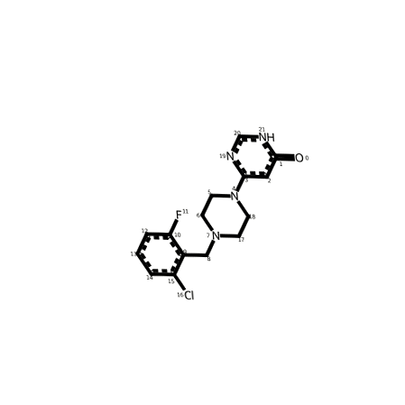 O=c1cc(N2CCN(Cc3c(F)cccc3Cl)CC2)nc[nH]1